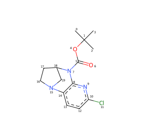 CC(C)(C)OC(=O)N1c2nc(Cl)ccc2N2CCC1C2